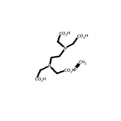 C=O.O=C(O)CN(CCN(CC(=O)O)CC(=O)O)CC(=O)O